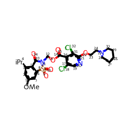 COc1cc(C(C)C)c2c(c1)S(=O)(=O)N(COC(=O)c1c(Cl)cnc(OCCN3CCCCC3)c1Cl)C2=O